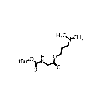 CN(C)CCCOC(=O)CNC(=O)OC(C)(C)C